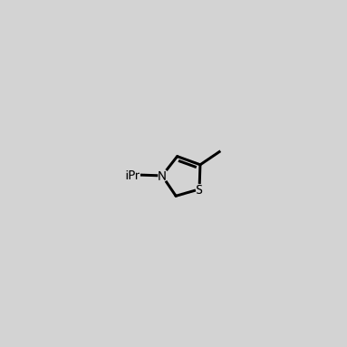 CC1=CN(C(C)C)CS1